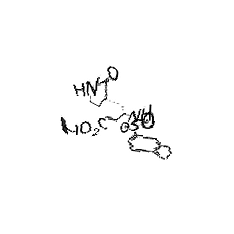 O=C(O)C=C[C@H](C[C@@H]1CCNC1=O)NS(=O)(=O)c1ccc2ccccc2c1